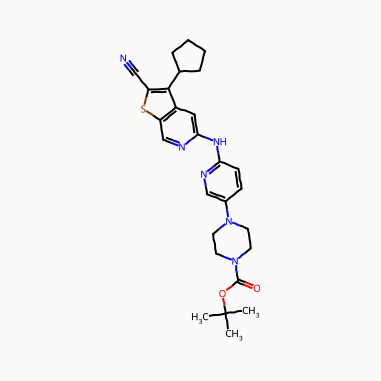 CC(C)(C)OC(=O)N1CCN(c2ccc(Nc3cc4c(C5CCCC5)c(C#N)sc4cn3)nc2)CC1